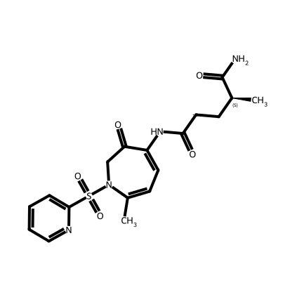 CC1=CC=C(NC(=O)[CH]C[C@H](C)C(N)=O)C(=O)CN1S(=O)(=O)c1ccccn1